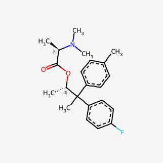 Cc1ccc(C(C)(c2ccc(F)cc2)[C@H](C)OC(=O)[C@@H](C)N(C)C)cc1